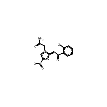 NC(=O)Cn1cc([N+](=O)[O-])s/c1=N\C(=O)c1ccccc1Cl